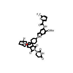 COc1cc2nn(C3CCC(CN4CC5CC[C@H](C4)N5c4ccc5c(c4)C(=O)N(N4CCC(=O)NC4=O)C5=O)CC3)cc2cc1NC(=O)c1cccc(C(F)(F)F)n1